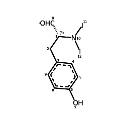 O=[C][C@@H](Cc1ccc(O)cc1)N(I)I